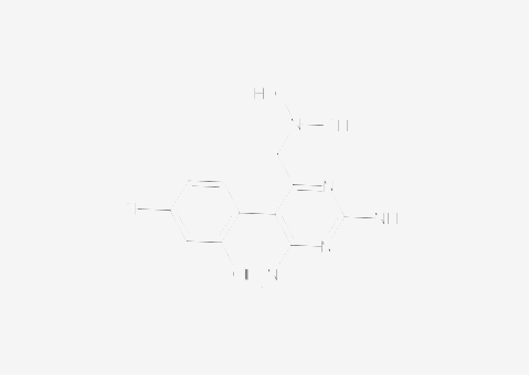 CN(C)Cc1nc(N)nc(N)c1-c1ccc(Cl)cc1Cl